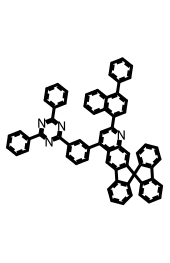 c1ccc(-c2nc(-c3ccccc3)nc(-c3cccc(-c4cc(-c5ccc(-c6ccccc6)c6ccccc56)nc5cc6c(cc45)-c4ccccc4C64c5ccccc5-c5ccccc54)c3)n2)cc1